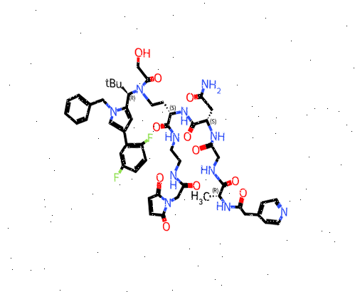 C[C@@H](NC(=O)Cc1ccncc1)C(=O)NCC(=O)N[C@@H](CC(N)=O)C(=O)N[C@@H](CCN(C(=O)CO)[C@@H](c1cc(-c2cc(F)ccc2F)cn1Cc1ccccc1)C(C)(C)C)C(=O)NCCNC(=O)CN1C(=O)C=CC1=O